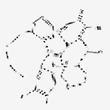 O=C1c2c(O)c(=O)ccn2N([C@@H]2c3ccccc3SCCCCc3c2ccc(F)c3F)[C@@H]2COCCN12